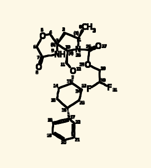 C[C@@H]1C[C@@]2(COCC(=O)N2)[C@H](CO[C@H]2CC[C@@H](c3ccccc3)CC2)N1C(=O)OCC(F)F